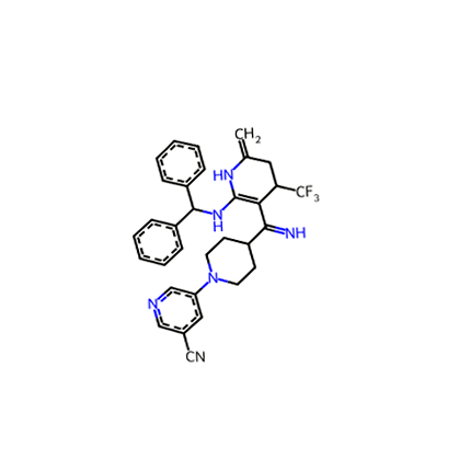 C=C1CC(C(F)(F)F)C(C(=N)C2CCN(c3cncc(C#N)c3)CC2)=C(NC(c2ccccc2)c2ccccc2)N1